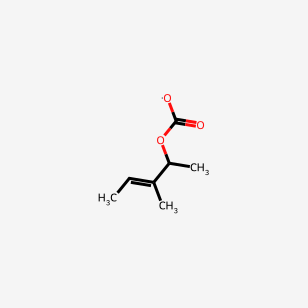 C/C=C(\C)C(C)OC([O])=O